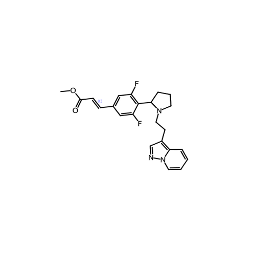 COC(=O)/C=C/c1cc(F)c(C2CCCN2CCc2cnn3ccccc23)c(F)c1